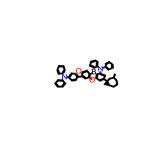 CC1CCCC2=CC2(c2cc3c4c(c2)N(c2ccccc2)c2ccccc2B4c2cc4oc5cc(N(c6ccccc6)c6ccccc6)ccc5c4cc2O3)C1